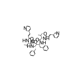 CC(C)[C@H](NC(=O)/C=C/c1cccnc1)C(=O)N[C@@H](Cc1ccccc1)C(O)[C@H](Cc1ccccc1)NC(=O)[C@@H](NC(=O)/C=C/c1cccnc1)C(C)C